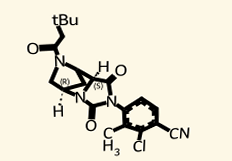 Cc1c(N2C(=O)[C@@H]3C4C[C@H](CN4C(=O)CC(C)(C)C)N3C2=O)ccc(C#N)c1Cl